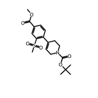 COC(=O)c1ccc(C2=CCN(C(=O)OC(C)(C)C)CC2)c(S(C)(=O)=O)c1